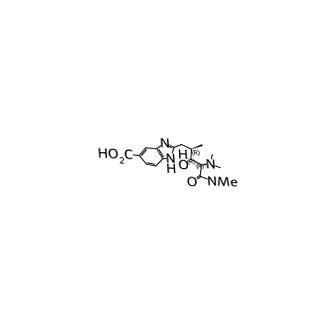 CNC(=O)[C@@H]([C@H](O)[C@H](C)Cc1nc2cc(C(=O)O)ccc2[nH]1)N(C)C